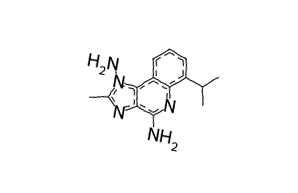 Cc1nc2c(N)nc3c(C(C)C)cccc3c2n1N